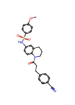 COc1ccc(S(=O)(=O)Nc2ccc3c(c2)CCCN3C(=O)CCc2ccc(C#N)cc2)cc1